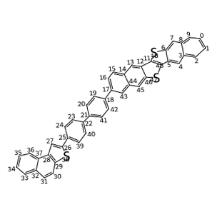 c1ccc2cc3c(cc2c1)sc1c2cc4ccc(-c5ccc(-c6ccc(-c7cc8c(ccc9ccccc98)s7)cc6)cc5)cc4cc2sc31